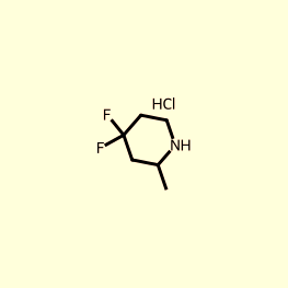 CC1CC(F)(F)CCN1.Cl